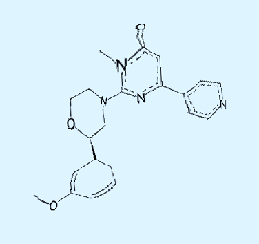 COC1=CC([C@@H]2CN(c3nc(-c4ccncc4)cc(=O)n3C)CCO2)CC=C1